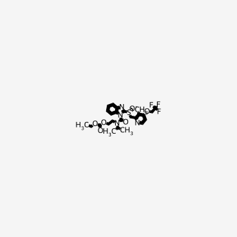 CCOC(=O)OCCN(C(=O)n1c([S+]([O-])Cc2nccc(OCC(F)(F)F)c2C)nc2ccccc21)C(C)C